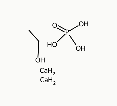 CCO.O=P(O)(O)O.[CaH2].[CaH2]